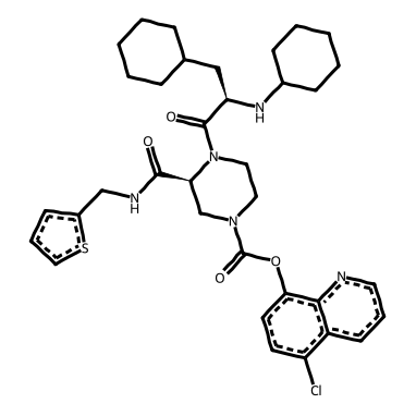 O=C(NCc1cccs1)[C@@H]1CN(C(=O)Oc2ccc(Cl)c3cccnc23)CCN1C(=O)[C@@H](CC1CCCCC1)NC1CCCCC1